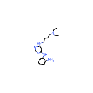 CCN(CC)CCCCNc1cc(Nc2ccccc2N)ncn1